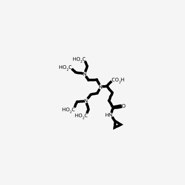 O=C(O)CN(CCN(CCN(CC(=O)O)CC(=O)O)C(CCC(=O)NC1CC1)C(=O)O)CC(=O)O